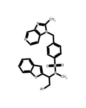 Cc1nc2cnccc2n1Cc1ccc(S(=O)(=O)N(C)C(CC(C)C)c2cc3ccccc3s2)cc1